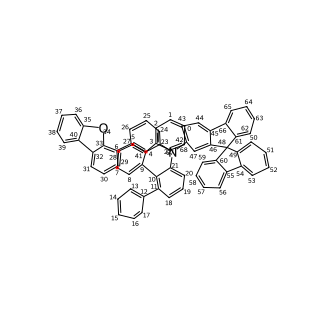 c1ccc(-c2ccccc2-c2c(-c3ccccc3)cccc2N(c2cccc(-c3cccc4c3oc3ccccc34)c2)c2ccc3c(c2)C2(c4ccccc4-c4ccccc42)c2ccccc2-3)cc1